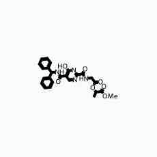 COC(=O)C(C)OC(=O)CNC(=O)c1ncc(C(=O)NC(c2ccccc2)c2ccccc2)c(O)n1